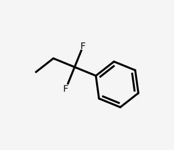 CCC(F)(F)c1ccccc1